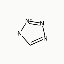 C1=NN=[N+][N]1